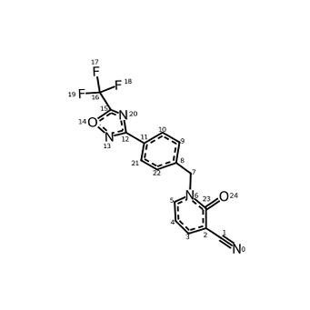 N#Cc1cccn(Cc2ccc(-c3noc(C(F)(F)F)n3)cc2)c1=O